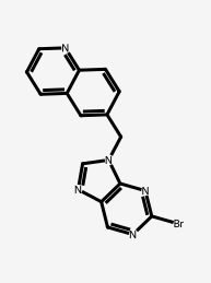 Brc1ncc2ncn(Cc3ccc4ncccc4c3)c2n1